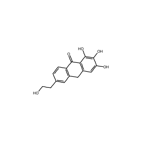 O=C1c2ccc(CCO)cc2Cc2cc(O)c(O)c(O)c21